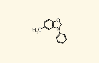 Cc1ccc2c(c1)N(c1ccccc1)CO2